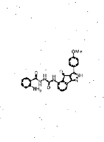 COc1ccc(-c2[nH]nc3c2C(=O)c2c(NC(=O)NNC(=O)c4ccccc4N)cccc2-3)cc1